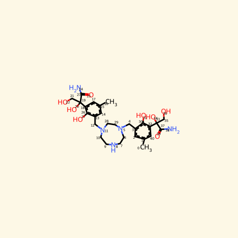 Cc1cc(CN2CCNCCN(Cc3cc(C)cc(C(O)(CO)C(N)=O)c3O)CC2)c(O)c(C(O)(CO)C(N)=O)c1